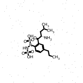 CCCc1ccc(N(NS(=O)(=O)O)S(=O)(=O)O)c(C(=O)[C@@H](N)CC(C)C)c1